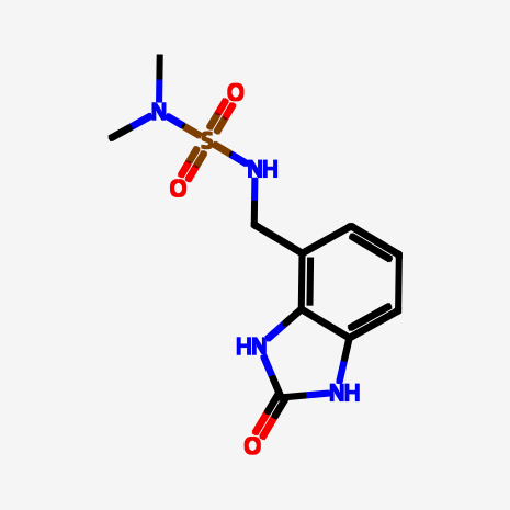 CN(C)S(=O)(=O)NCc1cccc2[nH]c(=O)[nH]c12